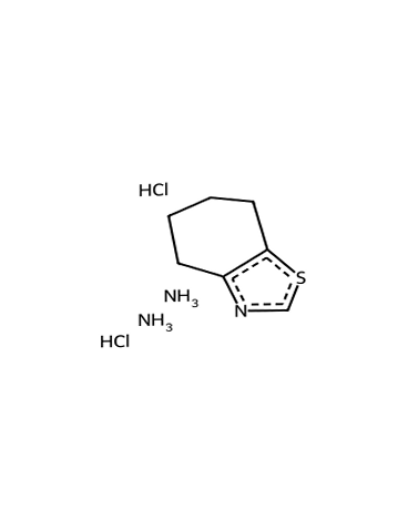 Cl.Cl.N.N.c1nc2c(s1)CCCC2